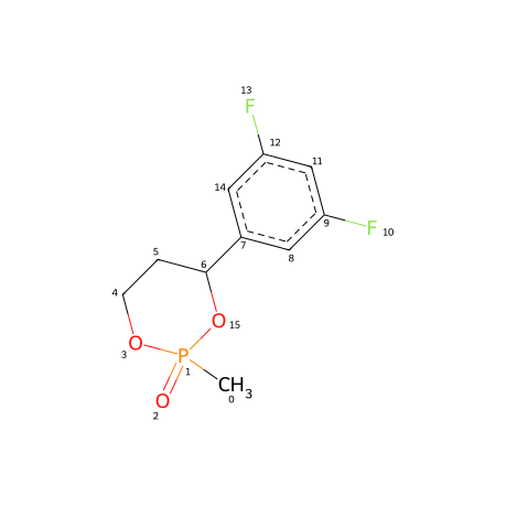 CP1(=O)OCCC(c2cc(F)cc(F)c2)O1